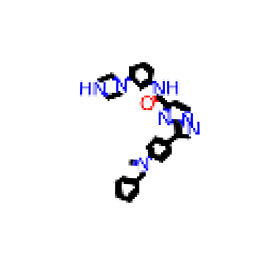 CN(Cc1ccccc1)c1ccc(-c2cnn3ccc(C(=O)Nc4cccc(N5CCNCC5)c4)nc23)cc1